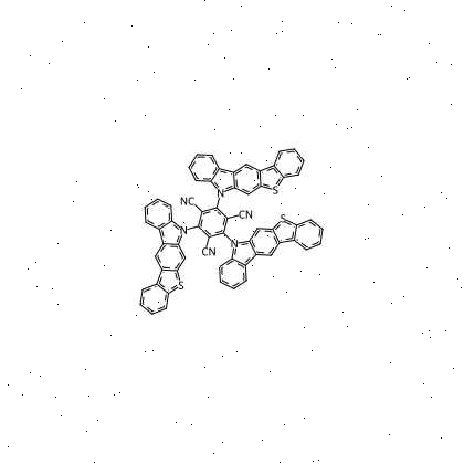 N#Cc1c(-n2c3ccccc3c3cc4c(cc32)sc2ccccc24)c(C#N)c(-n2c3ccccc3c3cc4c(cc32)sc2ccccc24)c(C#N)c1-n1c2ccccc2c2cc3c(cc21)sc1ccccc13